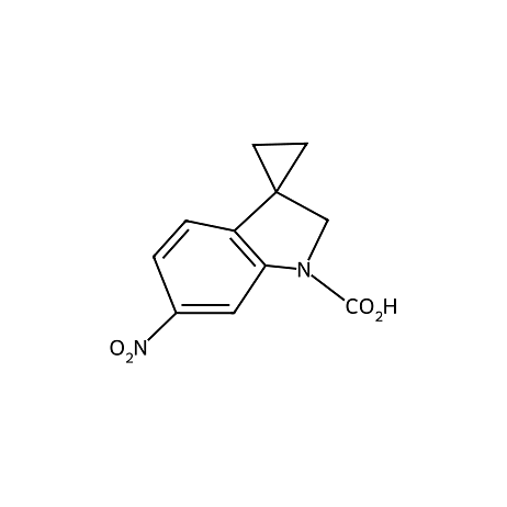 O=C(O)N1CC2(CC2)c2ccc([N+](=O)[O-])cc21